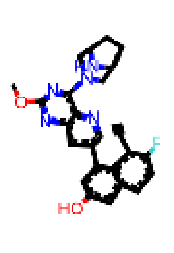 C#Cc1c(F)ccc2cc(O)cc(-c3cnc4c(N5CC6CCC(C5)N6)nc(OC)nc4c3)c12